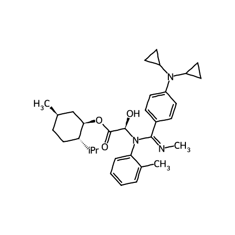 C/N=C(\c1ccc(N(C2CC2)C2CC2)cc1)N(c1ccccc1C)[C@H](O)C(=O)O[C@@H]1C[C@H](C)CC[C@H]1C(C)C